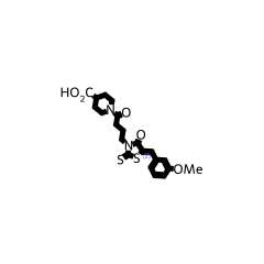 COc1cccc(/C=C2\SC(=S)N(CCCC(=O)N3CCC(C(=O)O)CC3)C2=O)c1